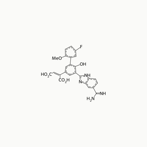 COc1ccc(F)cc1-c1cc(/C(=C/C(=O)O)C(=O)O)cc(-c2nc3cc(C(=N)N)ccc3[nH]2)c1O